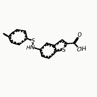 Cc1ccc(SNc2ccc3sc(C(=O)O)cc3c2)cc1